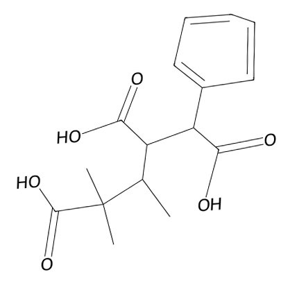 CC(C(C(=O)O)C(C(=O)O)c1ccccc1)C(C)(C)C(=O)O